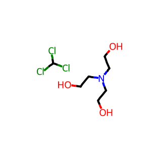 ClC(Cl)Cl.OCCN(CCO)CCO